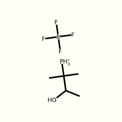 CC(O)C(C)(C)[PH3+].F[B-](F)(F)F